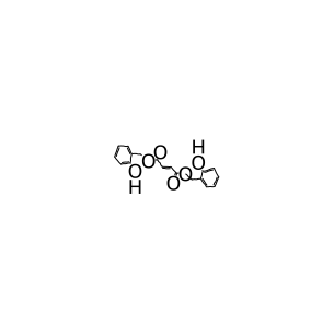 O=C(/C=C/C(=O)OCc1ccccc1O)OCc1ccccc1O